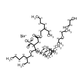 C=C.C=C.C=C.C=C.C=C.CCCCC(CC)COC(=O)CC(C(=O)OCC(CC)CCCC)S(=O)(=O)[O-].CCOCC.OCCO.[Na+]